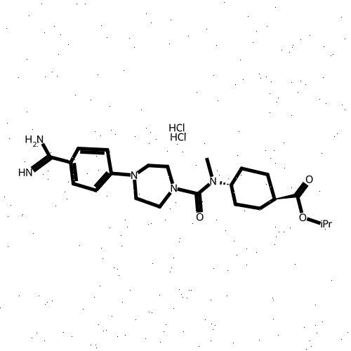 CC(C)OC(=O)[C@H]1CC[C@H](N(C)C(=O)N2CCN(c3ccc(C(=N)N)cc3)CC2)CC1.Cl.Cl